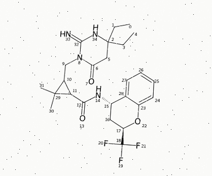 CCC1(CC)CC(=O)N(CC2C(C(=O)N[C@H]3C[C@H](C(F)(F)F)Oc4ccccc43)C2(C)C)C(=N)N1